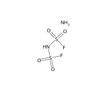 N.O=S(=O)(F)NS(=O)(=O)F